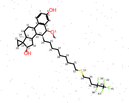 CO[C@@H]1c2cc(O)ccc2C2CC[C@@]3(C)C(C[C@@H](O)C34CC4)C2[C@@H]1CCCCCCCCCSCCCC(F)(F)C(F)(F)F